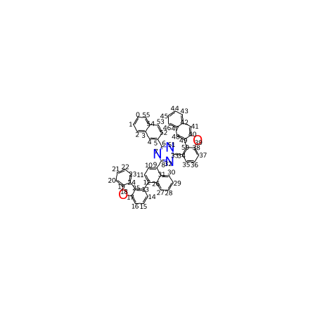 c1ccc2cc(-c3nc(-c4ccc(-c5cccc6oc7ccccc7c56)c5ccccc45)nc(-c4cccc5oc6cc7ccccc7cc6c45)n3)ccc2c1